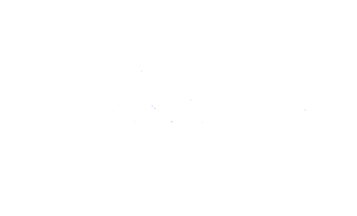 CC1=CC(F)=C(CNCOC(=O)OCc2ccccc2)C(C)C1